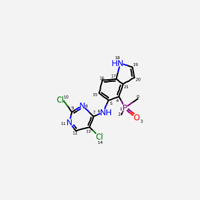 CP(C)(=O)c1c(Nc2nc(Cl)ncc2Cl)ccc2[nH]ccc12